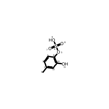 Cc1ccc(OS(=O)(=O)O)c(O)c1